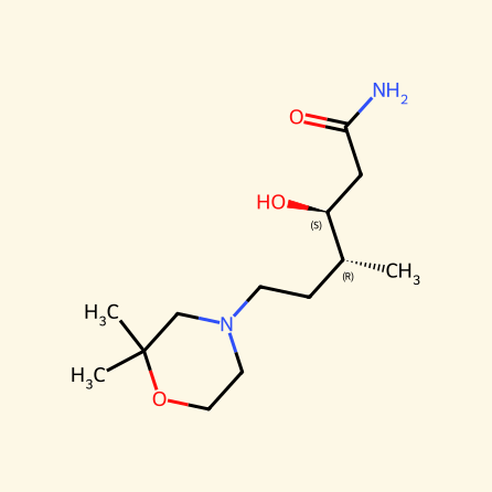 C[C@H](CCN1CCOC(C)(C)C1)[C@@H](O)CC(N)=O